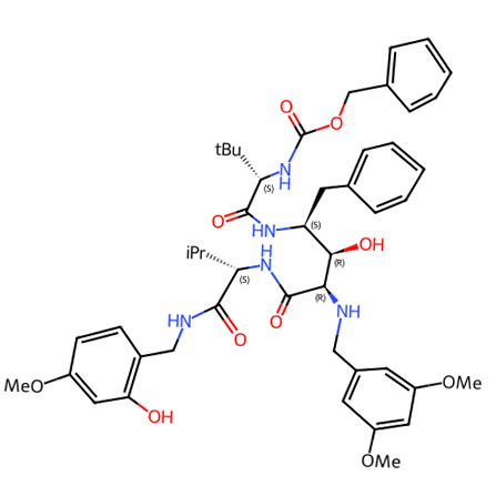 COc1cc(CN[C@@H](C(=O)N[C@H](C(=O)NCc2ccc(OC)cc2O)C(C)C)[C@H](O)[C@H](Cc2ccccc2)NC(=O)[C@@H](NC(=O)OCc2ccccc2)C(C)(C)C)cc(OC)c1